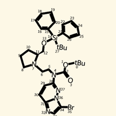 CC(C)(C)OC(=O)N(CCN1CCC[C@H]1CO[Si](c1ccccc1)(c1ccccc1)C(C)(C)C)c1ccc2ncc(Br)n2n1